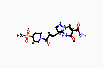 CS(=O)(=O)C1CCN(C(=O)C=Cc2cnn3cc(C(N)=O)c(=O)[nH]c23)CC1